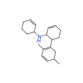 CC1=C(C2CCC=CC2NC2C=CCCC2)CC(C)C=C1